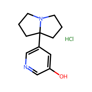 Cl.Oc1cncc(C23CCCN2CCC3)c1